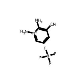 F[B-](F)(F)F.N#Cc1ccc[n+](N)c1N